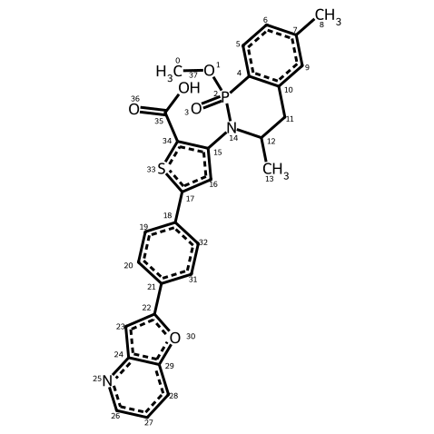 COP1(=O)c2ccc(C)cc2CC(C)N1c1cc(-c2ccc(-c3cc4ncccc4o3)cc2)sc1C(=O)O